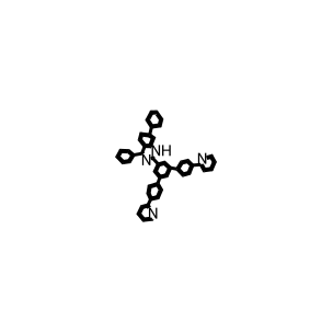 c1ccc(C2=NC(c3cc(-c4ccc(-c5ccccn5)cc4)cc(-c4ccc(-c5ccccn5)cc4)c3)Nc3cc(-c4ccccc4)ccc32)cc1